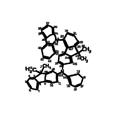 CC1(C)c2ccccc2-c2ccc(N(C3=CC=CCC3)c3ccc4c(c3)C(C)(C)c3cccc(-n5c6ccccc6c6ccccc65)c3-4)cc21